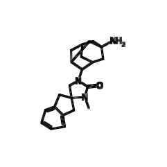 CN1C(=O)N(C2C3CC4CC2CC(N)(C4)C3)CC12Cc1ccccc1C2